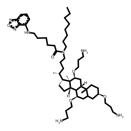 CCCCCCCCN(CCC[C@@H](C)[C@H]1CC[C@H]2C3[C@H](OCCCN)CC4C[C@H](OCCCN)CCC4(C)[C@H]3C[C@H](OCCCN)[C@]12C)C(=O)CCCCCNc1cccc2nonc12